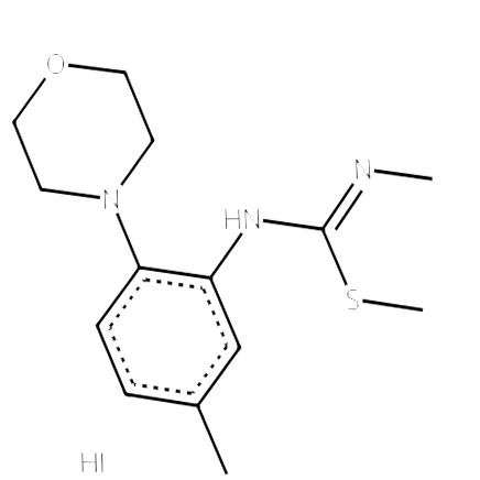 C/N=C(/Nc1cc(C)ccc1N1CCOCC1)SC.I